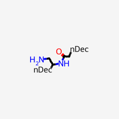 CCCCCCCCCCCC(=O)NC(CN)CCCCCCCCCC